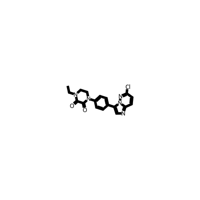 CCN1CCN(c2ccc(-c3cnc4ccc(Cl)nn34)cc2)C(=O)C1=O